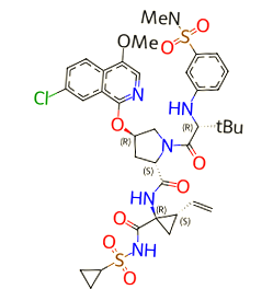 C=C[C@@H]1C[C@]1(NC(=O)[C@@H]1C[C@@H](Oc2ncc(OC)c3ccc(Cl)cc23)CN1C(=O)[C@H](Nc1cccc(S(=O)(=O)NC)c1)C(C)(C)C)C(=O)NS(=O)(=O)C1CC1